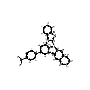 CC(C)c1ccc(-c2cc3c4cc5ccccc5cc4n4c3c(c2)n2c3ccccc3nc24)cc1